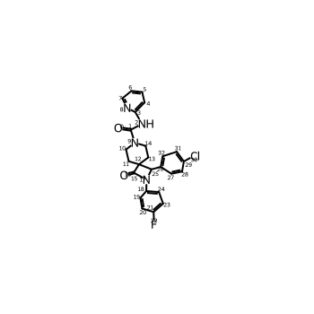 O=C(Nc1ccccn1)N1CCC2(CC1)C(=O)N(c1ccc(F)cc1)C2c1ccc(Cl)cc1